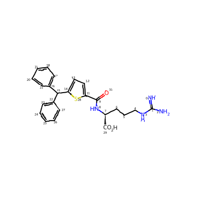 N=C(N)NCCC[C@H](NC(=O)c1ccc(C(c2ccccc2)c2ccccc2)s1)C(=O)O